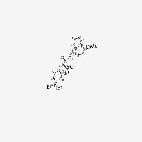 CCN(CC)c1ccc2cc(C(=O)C=Cc3ccc(OC)c4ccccc34)c(=O)oc2c1